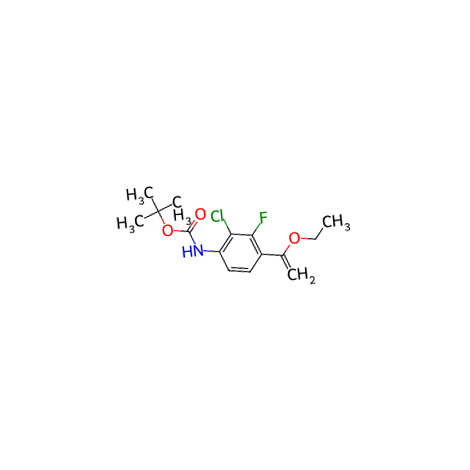 C=C(OCC)c1ccc(NC(=O)OC(C)(C)C)c(Cl)c1F